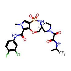 CC(NC(=O)C(=O)N1CC[C@@]2(COc3c(cn(C)c3C(=O)Nc3ccc(F)c(Cl)c3)S(=O)(=O)N2)C1)C(F)(F)F